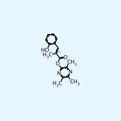 C/C(=C\c1ccccc1O)C(=O)Oc1nc(C)c(C)nc1C